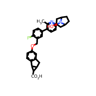 Cc1nc(N2C3CCC2CC(O)C3)ccc1-c1ccc(F)c(COc2ccc3c(c2)CC2C(C(=O)O)C32)c1